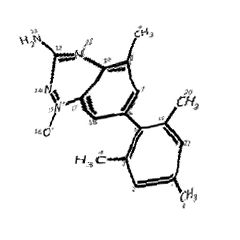 Cc1cc(C)c(-c2cc(C)c3nc(N)n[n+]([O-])c3c2)c(C)c1